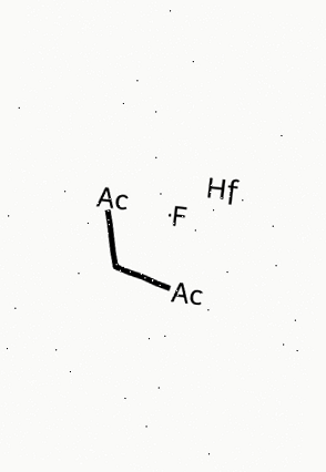 CC(=O)CC(C)=O.[F].[Hf]